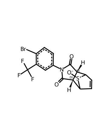 O=C1[C@@H]2C3C=CC([C@@H]2C(=O)N1c1ccc(Br)c(C(F)(F)F)c1)[S+]3[O-]